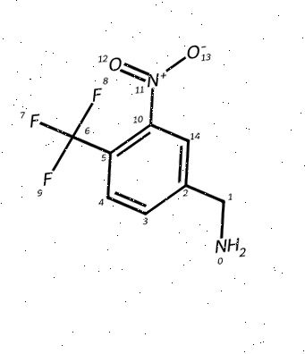 NCc1ccc(C(F)(F)F)c([N+](=O)[O-])c1